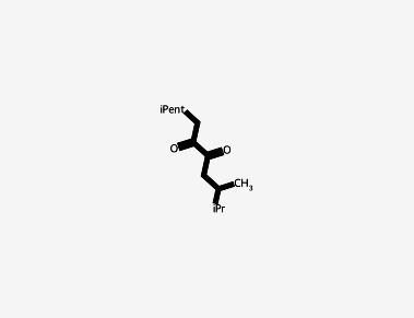 CCCC(C)CC(=O)C(=O)CC(C)C(C)C